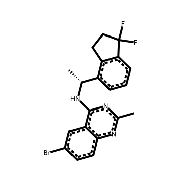 Cc1nc(N[C@H](C)c2cccc3c2CCC3(F)F)c2cc(Br)ccc2n1